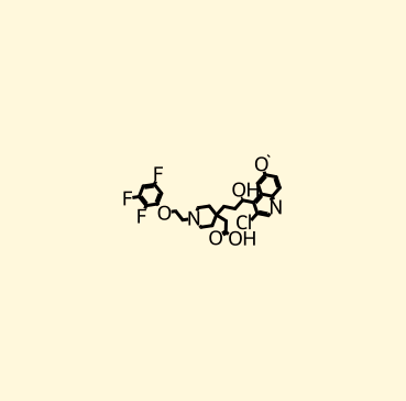 COc1ccc2ncc(Cl)c([C@@H](O)CCC3(CC(=O)O)CCN(CCOc4cc(F)cc(F)c4F)CC3)c2c1